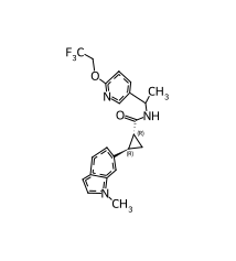 CC(NC(=O)[C@@H]1C[C@H]1c1ccc2ccn(C)c2c1)c1ccc(OCC(F)(F)F)nc1